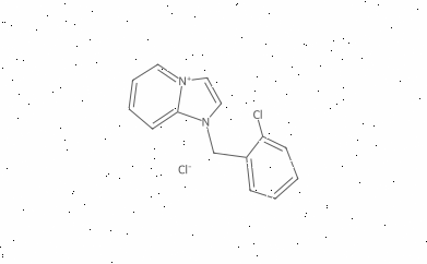 Clc1ccccc1Cn1cc[n+]2ccccc12.[Cl-]